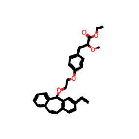 CCOC(=O)C(Cc1ccc(OCCOC2c3ccccc3C=Cc3ccc(CC)cc32)cc1)OC